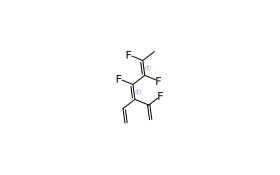 C=C/C(C(=C)F)=C(F)/C(F)=C(/C)F